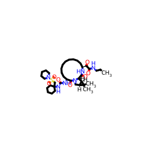 CCCNC(=O)C(=O)[C@@H]1CCCCCCCCC[C@H](NC(=O)NC2(CS(=O)(=O)N3CCCCC3)CCCCC2)C(=O)N2C[C@H]3[C@@H]([C@H]2C(=O)N1)C3(C)C